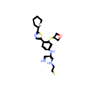 N=C/C(=C\NCCF)Nc1ccc(-c2cnc(C3CCCCC3)s2)c(SC2COC2)c1